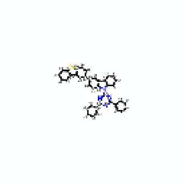 c1ccc(C2=NC(n3c4ccccc4c4cc(-c5ccc6sc7ccccc7c6c5)ccc43)=NC(c3ccccc3)N2)cc1